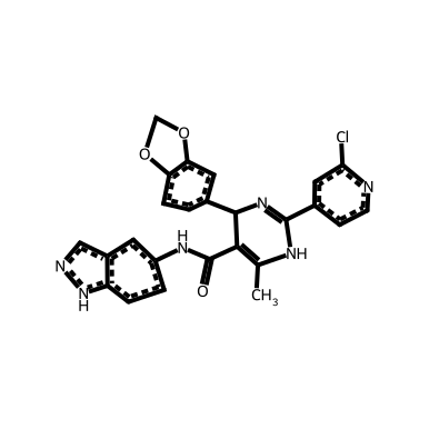 CC1=C(C(=O)Nc2ccc3[nH]ncc3c2)C(c2ccc3c(c2)OCO3)N=C(c2ccnc(Cl)c2)N1